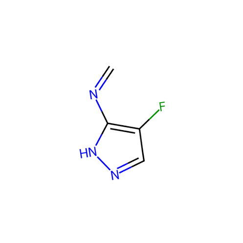 C=Nc1[nH]ncc1F